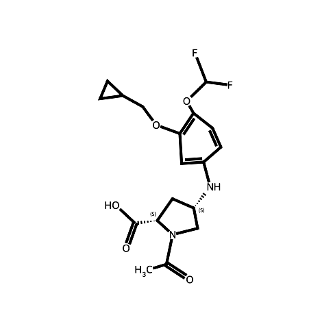 CC(=O)N1C[C@@H](Nc2ccc(OC(F)F)c(OCC3CC3)c2)C[C@H]1C(=O)O